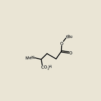 CNC(CCC(=O)OC(C)(C)C)C(=O)O